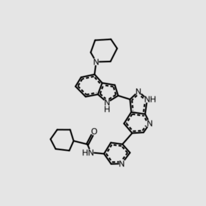 O=C(Nc1cncc(-c2cnc3[nH]nc(-c4cc5c(N6CCCCC6)cccc5[nH]4)c3c2)c1)C1CCCCC1